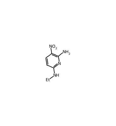 [CH2]CNc1ccc([N+](=O)[O-])c(N)n1